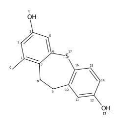 Cc1cc(O)cc2c1CCc1cc(O)ccc1S2